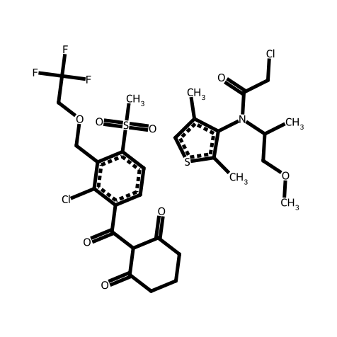 COCC(C)N(C(=O)CCl)c1c(C)csc1C.CS(=O)(=O)c1ccc(C(=O)C2C(=O)CCCC2=O)c(Cl)c1COCC(F)(F)F